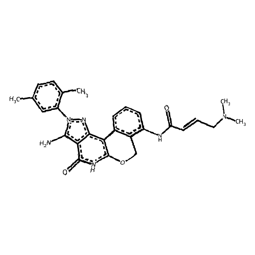 Cc1ccc(C)c(-n2nc3c4c([nH]c(=O)c3c2N)OCc2c(NC(=O)/C=C/CN(C)C)cccc2-4)c1